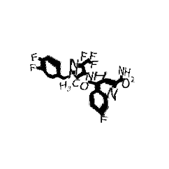 Cc1c(NC(=O)c2cc(C(N)=O)nc3cc(F)ccc23)c(C(F)(F)F)nn1Cc1ccc(F)c(F)c1